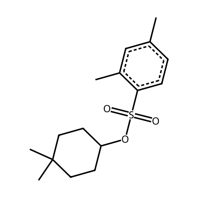 Cc1ccc(S(=O)(=O)OC2CCC(C)(C)CC2)c(C)c1